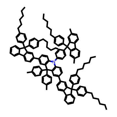 CCCCCCc1ccc(C2(c3ccc(N4c5ccc(-c6ccc7c(c6)C(c6ccc(CCCCCC)cc6)(c6ccc(CCCCCC)cc6)c6ccccc6-7)cc5C(c5ccc(C)cc5)(c5ccc(C)cc5)c5cc(-c6ccc7c(c6)C(c6ccc(CCCCCC)cc6)(c6ccc(CCCCCC)cc6)c6ccccc6-7)ccc54)cc3)c3cc(C)ccc3-c3ccc(C)cc32)cc1